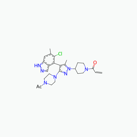 C=CC(=O)N1CCC(n2nc(N3CCN(C(C)=O)CC3)c(-c3c(Cl)c(C)cc4[nH]ncc34)c2C)CC1